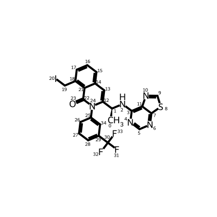 C[C@H](Nc1ncnc2scnc12)c1cc2cccc(CI)c2c(=O)n1-c1cccc(C(F)(F)F)c1